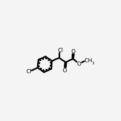 COC(=O)C(=O)C(Cl)c1ccc(Cl)cc1